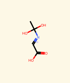 CC(O)(O)/N=C/C(=O)O